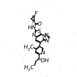 CCC[C@@H](O)c1cc(C)c(-c2cc3nc(NC(=O)[C@H]4C[C@H]4F)sc3n3ncnc23)cn1